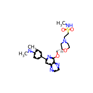 CNS(=O)(=O)CCN1CCO[C@H](COc2nc(-c3ccc(N(C)C)cc3)cc3nccnc23)C1